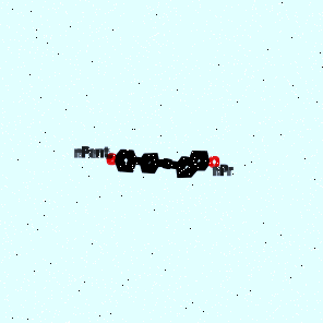 CCCCCOc1ccc(-c2ccc(C#Cc3ccc4cc(OCCC)ccc4c3)cc2)cc1